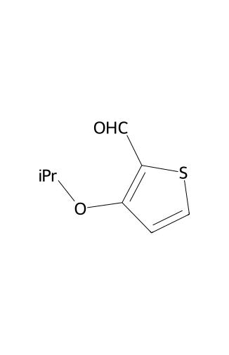 CC(C)Oc1ccsc1C=O